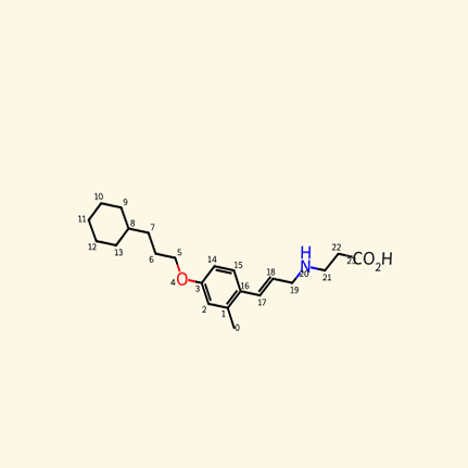 Cc1cc(OCCCC2CCCCC2)ccc1C=CCNCCC(=O)O